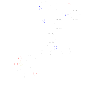 O=C1c2ccccc2S(=O)(=O)c2ccc(-c3ccc4c(c3)c3ccc(-c5ccc6c(c5)C5(c7cccnc7-c7ncccc75)c5cccc7c5N6c5ccccc5O7)cc3n4-c3ccccc3)cc21